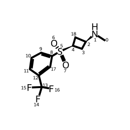 CN[C@H]1C[C@@H](S(=O)(=O)c2cccc(C(F)(F)F)c2)C1